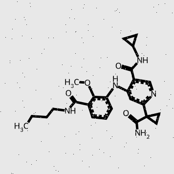 CCCCNC(=O)c1cccc(Nc2cc(C3(C(N)=O)CC3)ncc2C(=O)NC2CC2)c1OC